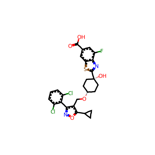 O=C(O)c1cc(F)c2nc([C@]3(O)CC[C@@H](OCc4c(-c5c(Cl)cccc5Cl)noc4C4CC4)CC3)sc2c1